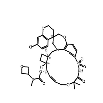 CN(C(=O)O[C@H]1C=CCOC(C)(C)C(=O)NS(=O)(=O)c2ccc3c(c2)N(C[C@@H]2CC[C@H]21)C[C@@]1(CCOc2cc(Cl)ccc21)CO3)C1COC1